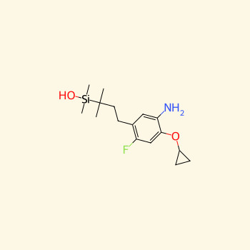 CC(C)(CCc1cc(N)c(OC2CC2)cc1F)[Si](C)(C)O